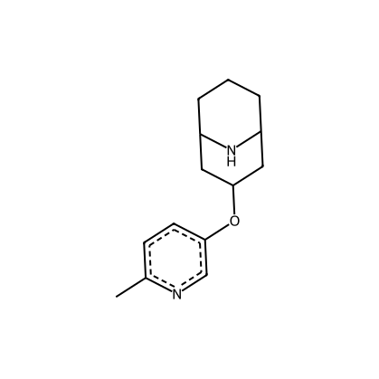 Cc1ccc(OC2CC3CCCC(C2)N3)cn1